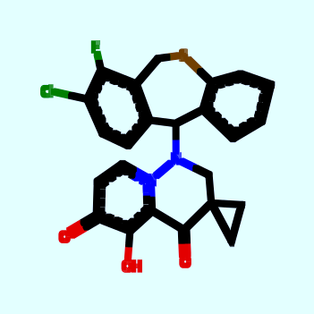 O=C1c2c(O)c(=O)ccn2N(C2c3ccccc3SCc3c2ccc(Cl)c3F)CC12CC2